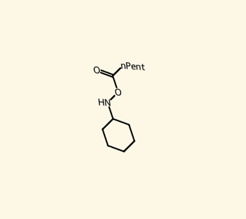 CCCCCC(=O)ONC1CCCCC1